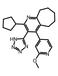 COc1cc(-c2c3c(nc(C4CCCC4)c2-c2nnn[nH]2)CCCCC3)ccn1